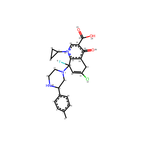 Cc1ccc(C2CN(C3(F)C=C(Cl)Cc4c3n(C3CC3)cc(C(=O)O)c4=O)CCN2)cc1